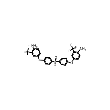 Nc1ccc(Oc2ccc(S(=O)(=O)c3ccc(Oc4ccc(N)c(C(F)(F)F)c4)cc3)cc2)cc1C(F)(F)F